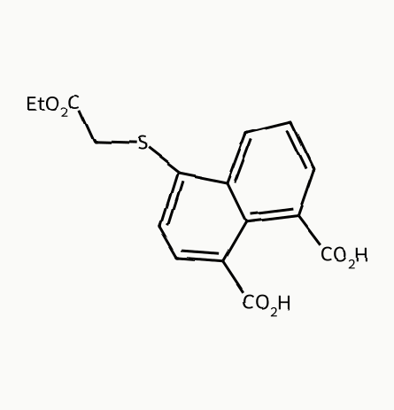 CCOC(=O)CSc1ccc(C(=O)O)c2c(C(=O)O)cccc12